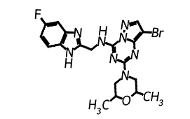 CC1CN(c2nc(NCc3nc4cc(F)ccc4[nH]3)n3ncc(Br)c3n2)CC(C)O1